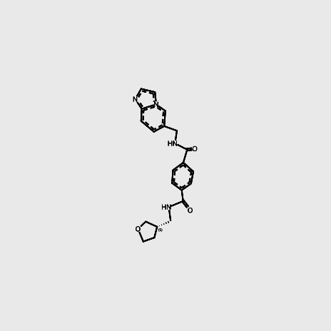 O=C(NCc1ccc2nccn2c1)c1ccc(C(=O)NC[C@@H]2CCOC2)cc1